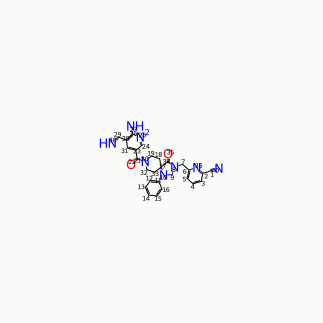 N#Cc1cccc(CN2CN(c3ccccc3)C3(CCN(C(=O)c4cnc(N)c(C=N)c4)CC3)C2=O)n1